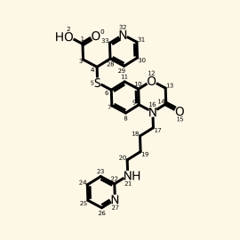 O=C(O)CC(Sc1ccc2c(c1)OCC(=O)N2CCCCNc1ccccn1)c1cccnc1